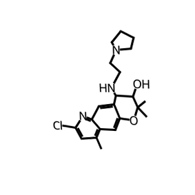 Cc1cc(Cl)nc2cc3c(cc12)OC(C)(C)C(O)C3NCCN1CCCC1